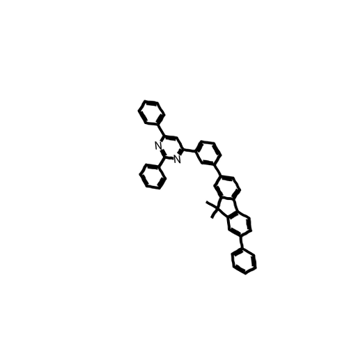 CC1(C)c2cc(-c3ccccc3)ccc2-c2ccc(-c3cccc(-c4cc(-c5ccccc5)nc(-c5ccccc5)n4)c3)cc21